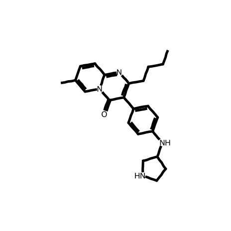 CCCCc1nc2ccc(C)cn2c(=O)c1-c1ccc(NC2CCNC2)cc1